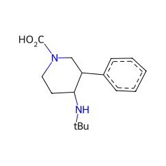 CC(C)(C)NC1CCN(C(=O)O)CC1c1ccccc1